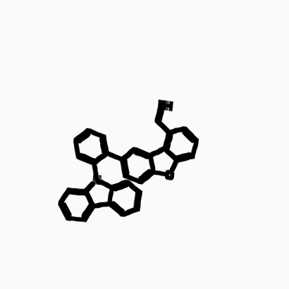 N=Cc1cccc2oc3ccc(-c4ccccc4-n4c5ccccc5c5ccccc54)cc3c12